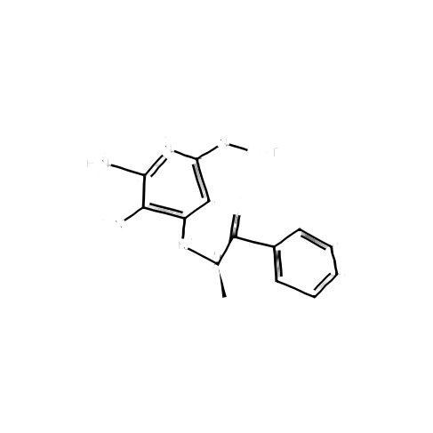 CCOC(=O)Nc1cc(N[C@H](C)C(=O)c2ccccc2)c([N+](=O)[O-])c(N)n1